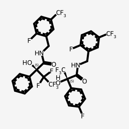 O=C(NCc1cc(C(F)(F)F)ccc1F)[C@@](O)(c1ccc(F)cc1)C(F)(F)F.O=C(NCc1cc(C(F)(F)F)ccc1F)[C@@](O)(c1ccccc1)C(F)(F)C(F)(F)F